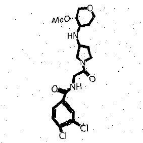 CO[C@@H]1COCCC1NC1CCN(C(=O)CNC(=O)c2ccc(Cl)c(Cl)c2)C1